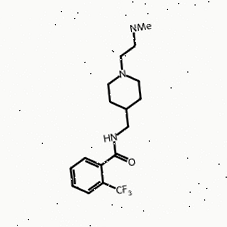 CNCCN1CCC(CNC(=O)c2ccccc2C(F)(F)F)CC1